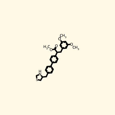 COC(=O)C(Cc1cc(OC)cc(OC)c1)c1ccc(-c2ccc(CC3CSCN3)cc2)cc1